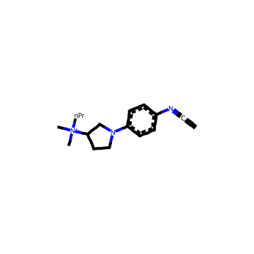 C=C=Nc1ccc(N2CCC([N+](C)(C)CCC)C2)cc1